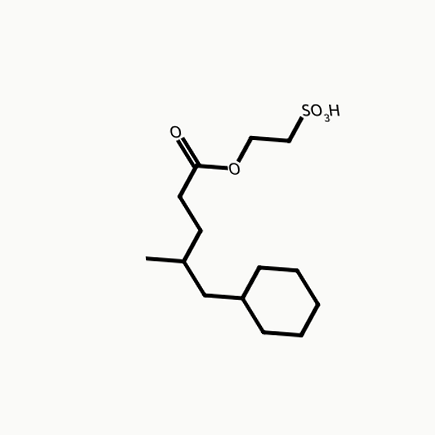 CC(CCC(=O)OCCS(=O)(=O)O)CC1CCCCC1